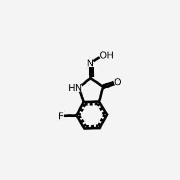 O=C1C(=NO)Nc2c(F)cccc21